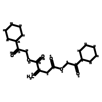 C=C(CC(=O)OCC(=O)C1CCCCC1)C(=O)OCC(=O)C1CCCCC1